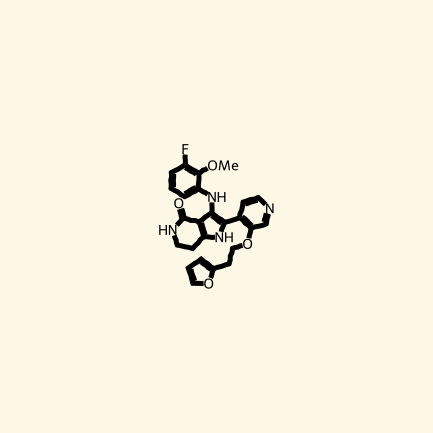 COc1c(F)cccc1Nc1c(-c2ccncc2OCCc2ccco2)[nH]c2c1C(=O)NCC2